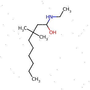 CCCCCCC(C)(C)CC(O)NCC